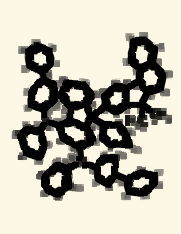 CC1(C)c2cc(C3(c4ccccc4)c4ccccc4-c4c(N(c5ccccc5)c5ccc(-c6ccccc6)cc5)cc(N(c5ccccc5)c5ccc(-c6ccccc6)cc5)cc43)ccc2-c2c1ccc1ccccc21